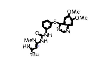 CN/C(=C\C(=N)C(C)(C)C)NC(=O)Nc1cccc(Sc2ncnc3cc(OC)c(OC)cc23)c1